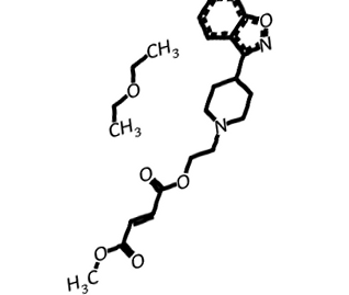 CCOCC.COC(=O)/C=C/C(=O)OCCN1CCC(c2noc3cc(F)ccc23)CC1